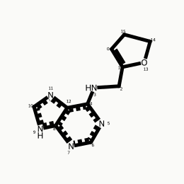 C1=C(CNc2ncnc3[nH]cnc23)OCC1